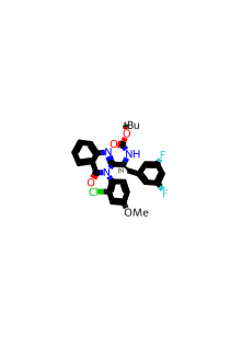 COc1ccc(-n2c([C@H](Cc3cc(F)cc(F)c3)NC(=O)OC(C)(C)C)nc3ccccc3c2=O)c(Cl)c1